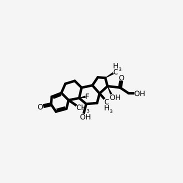 C[C@@H]1CC2C3CCC4=CC(=O)C=CC4(C)[C@@]3(F)C(O)CC2(C)[C@@]1(O)C(=O)CO